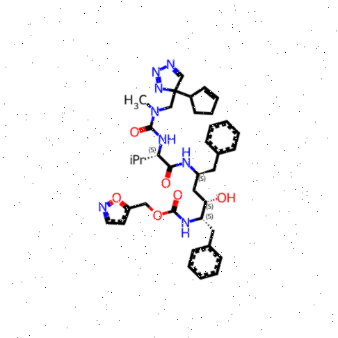 CC(C)[C@H](NC(=O)N(C)CC1(C2C=CCC2)C=NN=N1)C(=O)N[C@@H](Cc1ccccc1)C[C@H](O)[C@H](Cc1ccccc1)NC(=O)OCc1ccno1